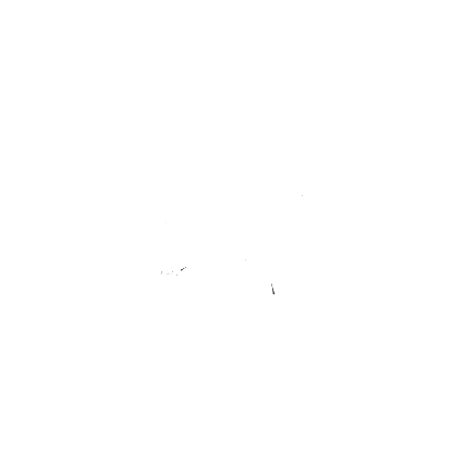 [2H]c1ccc2c(c1)[C@@]1(C[C@@H](C(N)=O)N(C(=O)[C@H](CC(C)C)NC)C1([2H])[2H])C(=O)N2